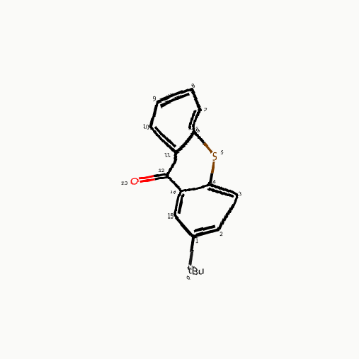 CC(C)(C)c1ccc2sc3ccccc3c(=O)c2c1